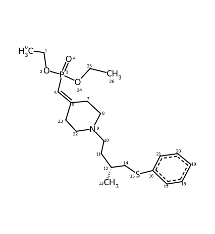 CCOP(=O)(C=C1CCN(CC[C@@H](C)CSc2ccccc2)CC1)OCC